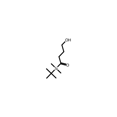 CC(C)(C)[Si](C)(C)C(=O)CCCO